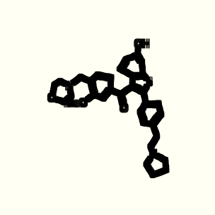 COc1cc(C(=O)c2c(-c3ccc(CCN4CCCC4)cc3)sc3cc(O)ccc23)ccc1CN1CCOCC1